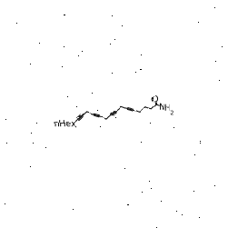 CCCCCCC#CCC#CCC#CCC#CCCCC(N)=O